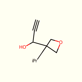 C#CC(O)C1(C(C)C)COC1